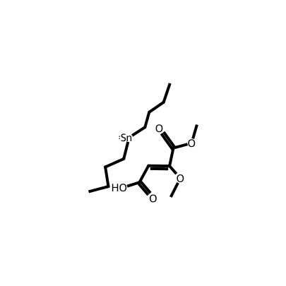 CCC[CH2][Sn][CH2]CCC.COC(=O)C(=CC(=O)O)OC